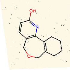 Oc1ccc2c(n1)C1=C(CCCC1)COC2